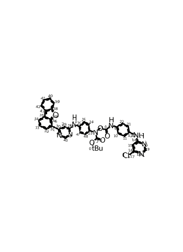 CC(C)(C)OC(=O)N(OC(=O)Nc1ccc(Nc2cc(Cl)ncn2)cc1)c1ccc(Nc2cc(-c3cccc4c3oc3ccccc34)ncn2)cc1